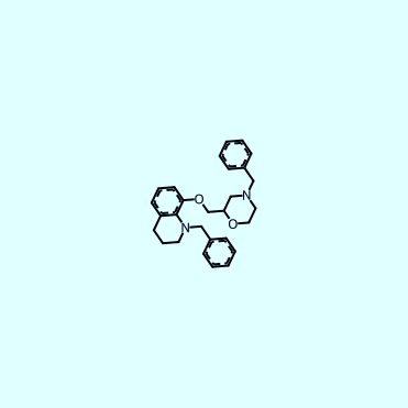 c1ccc(CN2CCOC(COc3cccc4c3N(Cc3ccccc3)CCC4)C2)cc1